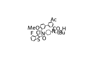 COc1ccc(-c2cccc(C(C)=O)c2)cc1CN(C(=O)c1sc2cccc(F)c2c1Cl)C1CCC(N(CC(C)(C)C)C(=O)O)CC1